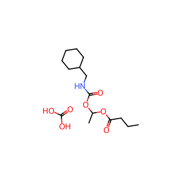 CCCC(=O)OC(C)OC(=O)NCC1CCCCC1.O=C(O)O